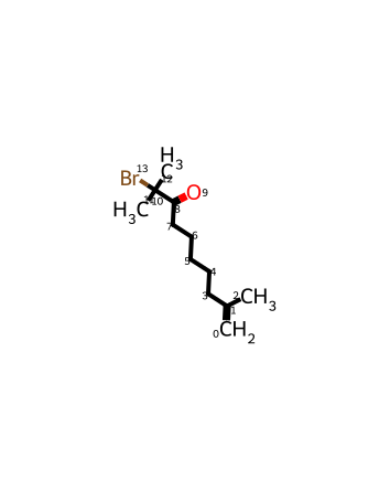 C=C(C)CCCCCC(=O)C(C)(C)Br